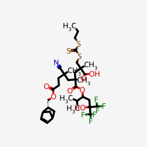 CCCSC(=S)SCC(C)(CC(C)(CC(C)(C#N)CCC(=O)OC[C@@H]1CC2C=CC1C2)C(=O)OC(CC(O)(C(F)(F)F)C(F)(F)F)C(C)C)C(=O)O